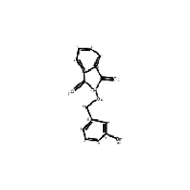 O=C1c2ccccc2C(=O)N1OCc1cccc(Br)c1